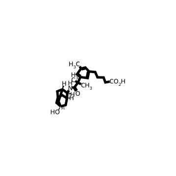 Cc1cc(CCCCC(=O)O)cc(C(C)(C)C(=O)N[C@H]2[C@@H]3CC4C[C@H]2C[C@](O)(C4)C3)c1